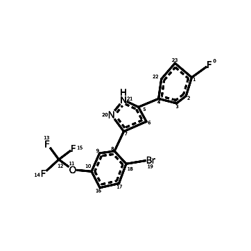 Fc1ccc(-c2cc(-c3cc(OC(F)(F)F)ccc3Br)n[nH]2)cc1